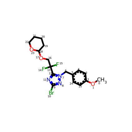 COc1ccc(Cn2nc(Br)nc2C(F)(F)COC2CCCCO2)cc1